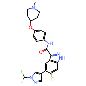 CN1CCC(Oc2ccc(NC(=O)c3n[nH]c4cc(F)c(-c5cnn(C(F)F)c5)cc34)cc2)CC1